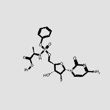 CC(C)OC(=O)[C@@H](C)NP(=O)(OC[C@H]1O[C@H](n2ccc(N)nc2=O)[C@@H](F)[C@@H]1O)Oc1ccccc1